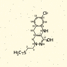 CSCCN1CC2=C(Nc3cc(Cl)ccc3C2)C(O)=N1